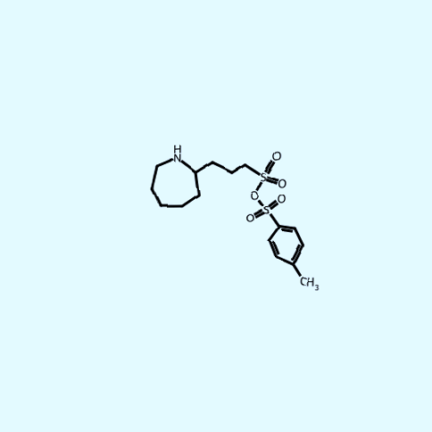 Cc1ccc(S(=O)(=O)OS(=O)(=O)CCCC2CCCCCN2)cc1